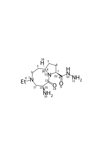 CCN1CC[C@H]2CC[C@@H](C(=O)NN)N2C(=O)[C@@H](N)C1